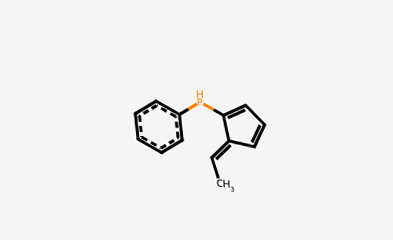 CC=C1C=CC=C1Pc1ccccc1